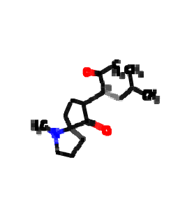 CC(=O)[C@H](CC(C)C)C1CCC2(CCCN2C)C1=O